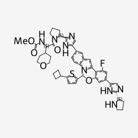 COC(=O)N[C@H](C(=O)N1CCC[C@H]1c1ncc(-c2ccc3c(c2)cc2n3C(c3ccc(C4CCC4)s3)Oc3cc(-c4cnc([C@@H]5CCCN5)[nH]4)cc(F)c3-2)[nH]1)C1CCOCC1